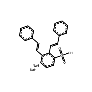 O=S(=O)(O)c1cccc(C=Cc2ccccc2)c1C=Cc1ccccc1.[NaH].[NaH]